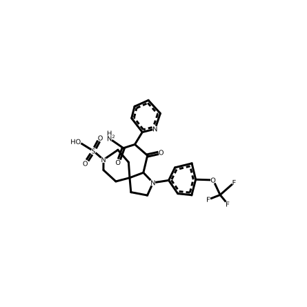 NC(=O)C(C(=O)C1N(c2ccc(OC(F)(F)F)cc2)CCC12CCN(S(=O)(=O)O)CC2)c1ccccn1